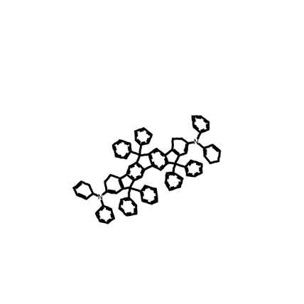 C1=CCC(N(C2=CC3=C(CC2)c2cc4c(cc2C3(c2ccccc2)c2ccccc2)-c2cc3c(cc2C4(c2ccccc2)c2ccccc2)C2=C(C=C(N(C4=CCCC=C4)c4ccccc4)CC2)C3(c2ccccc2)c2ccccc2)c2ccccc2)C=C1